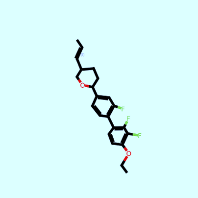 C/C=C/C1CCC(c2ccc(-c3ccc(OCC)c(F)c3F)c(F)c2)OC1